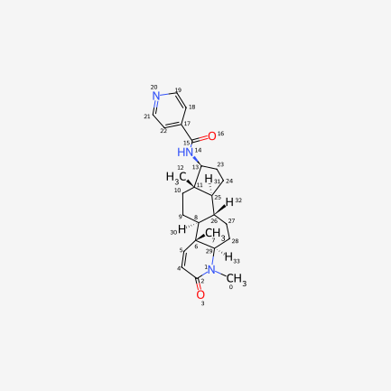 CN1C(=O)C=C[C@]2(C)[C@H]3CC[C@]4(C)[C@@H](NC(=O)c5ccncc5)CC[C@H]4[C@@H]3CC[C@@H]12